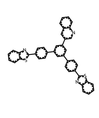 c1ccc2ncc(-c3cc(-c4ccc(-c5nc6ccccc6s5)cc4)cc(-c4ccc(-c5nc6ccccc6s5)cc4)c3)cc2c1